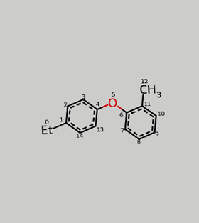 CCc1ccc(Oc2ccccc2C)cc1